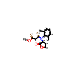 CCOC(=S)CC(=S)N(c1c(C)cccc1C)C1CCOC1=O